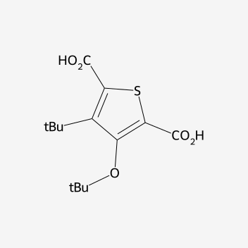 CC(C)(C)Oc1c(C(=O)O)sc(C(=O)O)c1C(C)(C)C